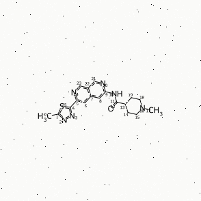 Cc1nnc(-c2cc3cc(NC(=O)C4CCN(C)CC4)ncc3cn2)s1